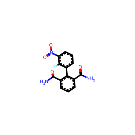 NC(=O)c1cccc(C(N)=O)c1-c1cccc([N+](=O)[O-])c1F